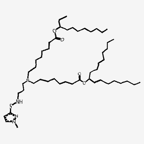 CCCCCCCCC(CC)OC(=O)CCCCCCCN(CCCCCCCC(=O)OC(CCCCCCCC)CCCCCCCC)CCCNSc1ccn(C)n1